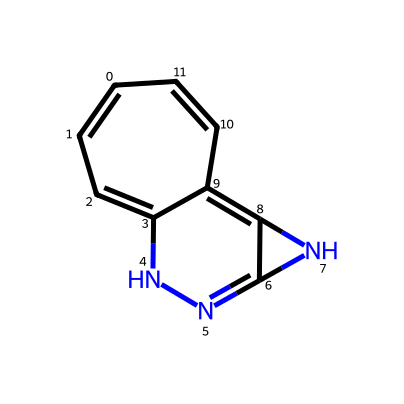 c1ccc2[nH]nc3[nH]c-3c-2cc1